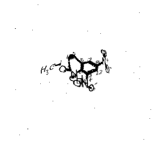 CCOC1C=Cc2cc([N+](=O)[O-])cc([N+](=O)[O-])c2N1C